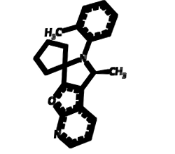 Cc1ccccc1N1[C@@H](C)c2c(oc3ncccc23)C12CCCC2